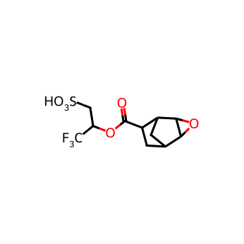 O=C(OC(CS(=O)(=O)O)C(F)(F)F)C1CC2CC1C1OC21